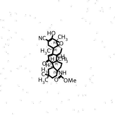 COC(=O)N[C@]12CCC(C)(C)C[C@H]1[C@H]1C(=O)C=C3[C@@]4(C)CC(C#N)=C(O)[C@@]5(C)O[C@@]45CC[C@@]3(C)[C@]1(C)CC2